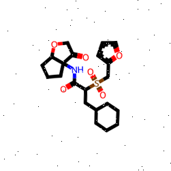 O=C(NC12CCCC1OCC2=O)C(CC1CCCCC1)S(=O)(=O)Cc1ccco1